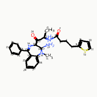 CC(NC(=O)CCCc1cccs1)C(=O)C1N=C(c2ccccc2)c2ccccc2N(C)[C@@H]1N